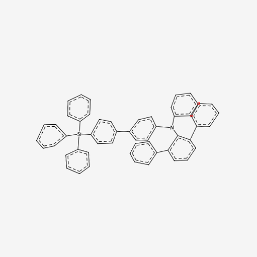 c1ccc(-c2cccc(-c3ccccc3)c2N(c2ccccc2)c2ccc(-c3ccc([Si](c4ccccc4)(c4ccccc4)c4ccccc4)cc3)cc2)cc1